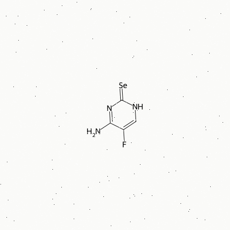 Nc1nc(=[Se])[nH]cc1F